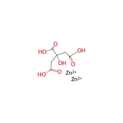 O=C(O)CC(O)(CC(=O)O)C(=O)O.[Zn+2].[Zn+2]